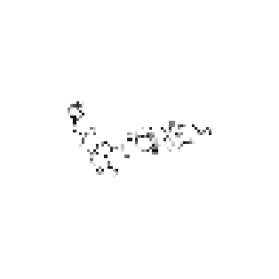 CC1(OC(=O)C2C3CC4C(OC(=O)C42)C3OC(=O)Cn2ccnc2)CC[C@H]2C3CCC4=CC(=O)CC[C@]4(C)[C@H]3CC[C@@]21C